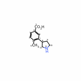 Cc1ccc(C(=O)O)cc1C1CCNC1